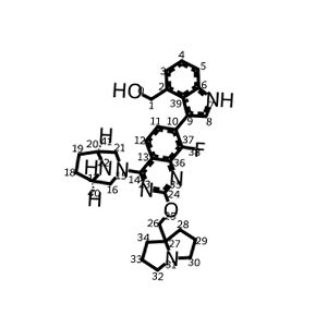 OCc1cccc2[nH]cc(-c3ccc4c(N5C[C@H]6CC[C@@H](C5)N6)nc(OCC56CCCN5CCC6)nc4c3F)c12